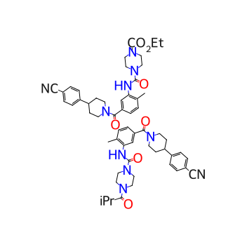 CCOC(=O)N1CCN(C(=O)Nc2cc(C(=O)N3CCC(c4ccc(C#N)cc4)CC3)ccc2C)CC1.Cc1ccc(C(=O)N2CCC(c3ccc(C#N)cc3)CC2)cc1NC(=O)N1CCN(C(=O)C(C)C)CC1